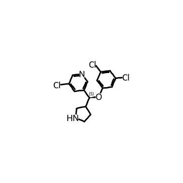 Clc1cc(Cl)cc(O[C@H](c2cncc(Cl)c2)C2CCNC2)c1